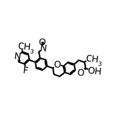 Cc1cc(-c2ccc(C3CCc4ccc(CC(C)C(=O)O)cc4O3)cc2CN=O)c(F)cn1